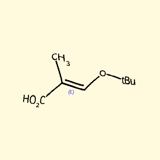 C/C(=C\OC(C)(C)C)C(=O)O